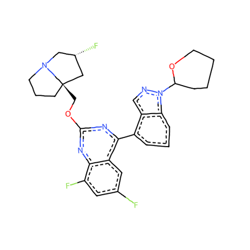 Fc1cc(F)c2nc(OC[C@@]34CCCN3C[C@H](F)C4)nc(-c3cccc4c3cnn4C3CCCCO3)c2c1